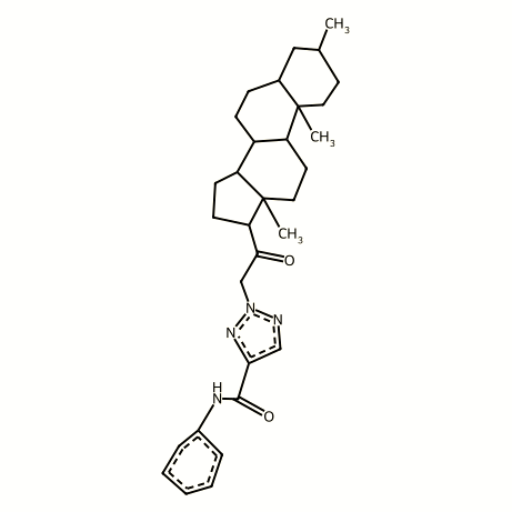 CC1CCC2(C)C(CCC3C2CCC2(C)C(C(=O)Cn4ncc(C(=O)Nc5ccccc5)n4)CCC32)C1